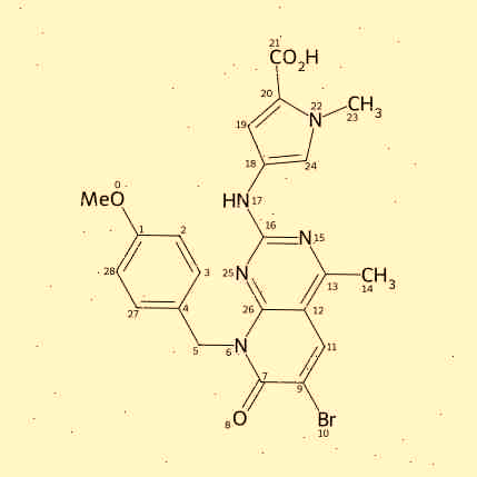 COc1ccc(Cn2c(=O)c(Br)cc3c(C)nc(Nc4cc(C(=O)O)n(C)c4)nc32)cc1